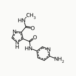 CNC(=O)c1nc[nH]c1C(=O)Nc1ccc(N)nc1